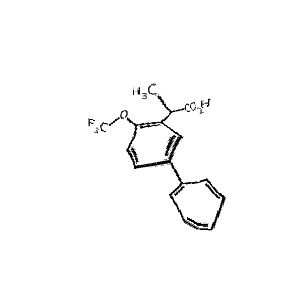 CC(C(=O)O)c1cc(-c2ccccc2)ccc1OC(F)(F)F